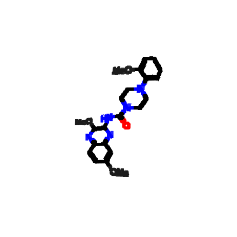 COc1ccc2nc(OC)c(NC(=O)N3CCN(c4ccccc4OC)CC3)nc2c1